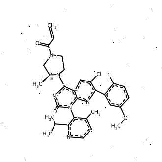 C=CC(=O)N1CCN(c2nc(=O)n(-c3c(C)ccnc3C(C)C)c3nc(-c4cc(OC)ccc4F)c(Cl)cc23)[C@@H](C)C1